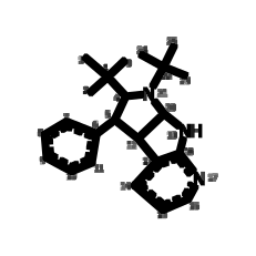 CC(C)(C)C1C(c2ccccc2)C2c3cccnc3NC2N1C(C)(C)C